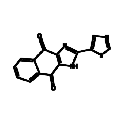 O=C1c2ccccc2C(=O)c2[nH]c(-c3cncs3)nc21